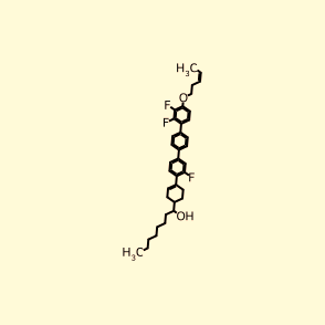 C/C=C\CCOc1ccc(-c2ccc(-c3ccc(C4=CCC(C(O)CCCCCCC)CC4)c(F)c3)cc2)c(F)c1F